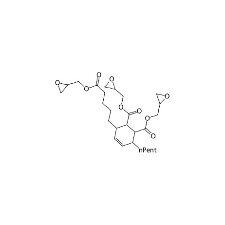 CCCCCC1C=CC(CCCCC(=O)OCC2CO2)C(C(=O)OCC2CO2)C1C(=O)OCC1CO1